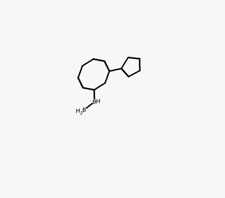 BBC1CCCCCC(C2CCCC2)C1